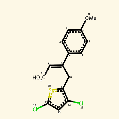 COc1ccc(/C(=C/C(=O)O)Cc2sc(Cl)cc2Cl)cc1